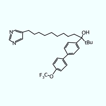 CC(C)(C)C(O)(CCCCCCCCCc1cncnc1)c1ccc(-c2ccc(OC(F)(F)F)cc2)cc1